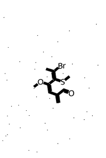 C=C(C=O)/C=C(OC)\C(SC)=C(/C)Br